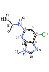 C[C@H](N(C)c1cc(Cl)c2ncn(C)c2n1)C(C)(C)C